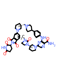 CN1CCN([C@@H]2CCCN(c3cnc(C(N)=O)c(Nc4ccc(C5CCN(C[C@H]6CCCN(c7ccc8c(c7)C(=O)N(C7CCC(=O)NC7=O)C8=O)C6)CC5)cc4)n3)C2)C1=O